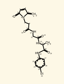 C=C1C=CC(=O)N1CCC(=O)NCC(=O)NC(C)C(=O)Nc1ccc(CC)cc1